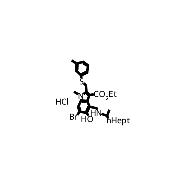 CCCCCCCC(C)NCc1c(O)c(Br)cc2c1c(C(=O)OCC)c(CSc1cccc(C)c1)n2C.Cl